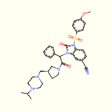 COc1ccc(S(=O)(=O)n2c(=O)n(C(C(=O)N3CC[C@@H](CN4CCN(C(C)C)CC4)C3)c3ccccc3)c3cc(C#N)ccc32)cc1